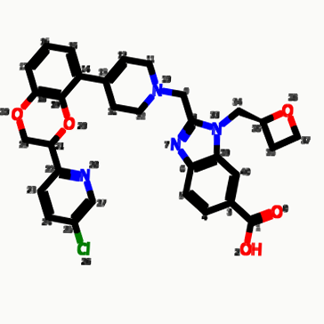 O=C(O)c1ccc2nc(CN3CC=C(c4cccc5c4OC(c4ccc(Cl)cn4)CO5)CC3)n(C[C@@H]3CCO3)c2c1